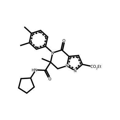 CCOC(=O)c1cc2n(n1)CC(C)(C(=O)NC1CCCC1)N(c1ccc(C)c(C)c1)C2=O